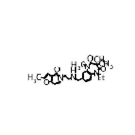 CCN1C(=O)C(C)(C)C(=O)N(C)c2cc(CNCCn3ccc4oc(C)cc4c3=O)ccc21